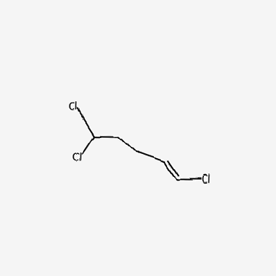 Cl/C=C/CCC(Cl)Cl